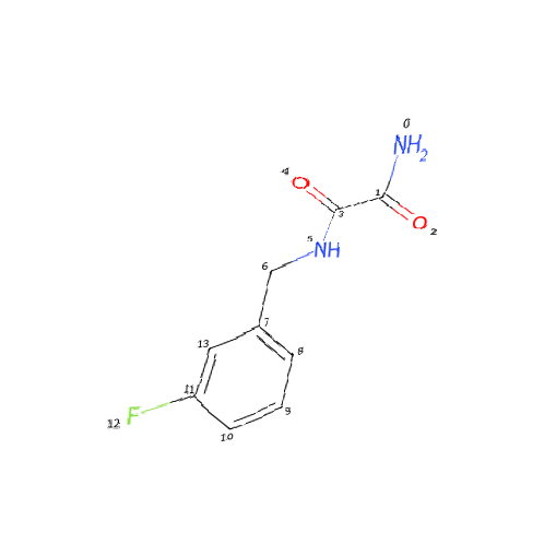 NC(=O)C(=O)NCc1cccc(F)c1